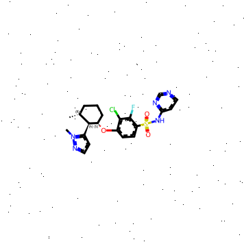 C[C@@H]1CCC[C@H](Oc2ccc(S(=O)(=O)Nc3ccncn3)c(F)c2Cl)[C@H]1c1ccnn1C